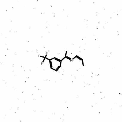 C/C=C\N=C(/C)c1cccc(C(F)(F)F)c1